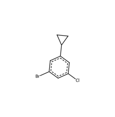 Clc1cc(Br)cc(C2CC2)c1